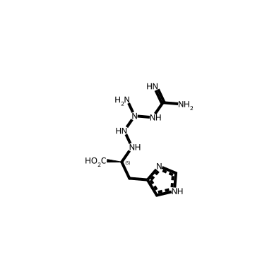 N=C(N)NN(N)NN[C@@H](Cc1c[nH]cn1)C(=O)O